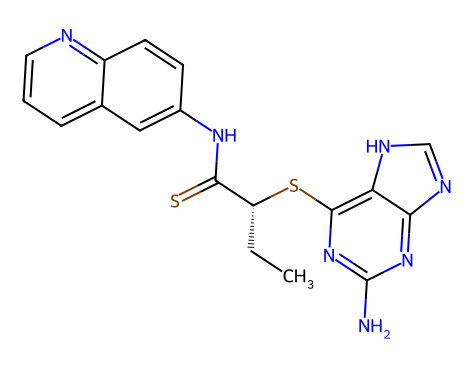 CC[C@@H](Sc1nc(N)nc2nc[nH]c12)C(=S)Nc1ccc2ncccc2c1